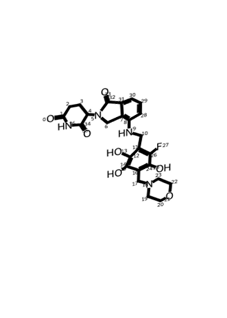 O=C1CCC(N2Cc3c(NCc4c(O)c(O)c(CN5CCOCC5)c(O)c4F)cccc3C2=O)C(=O)N1